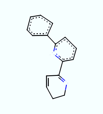 C1=CC(c2cccc(-c3ccccc3)n2)=NCC1